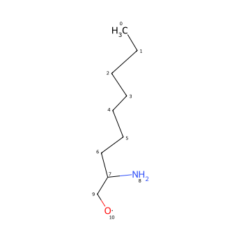 CCCCCCCC(N)C[O]